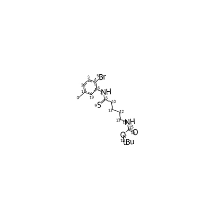 Cc1ccc(Br)c(NC(=S)CCCCNC(=O)OC(C)(C)C)c1